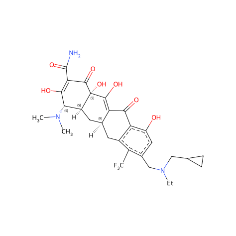 CCN(Cc1cc(O)c2c(c1C(F)(F)F)C[C@H]1C[C@H]3[C@H](N(C)C)C(O)=C(C(N)=O)C(=O)[C@@]3(O)C(O)=C1C2=O)CC1CC1